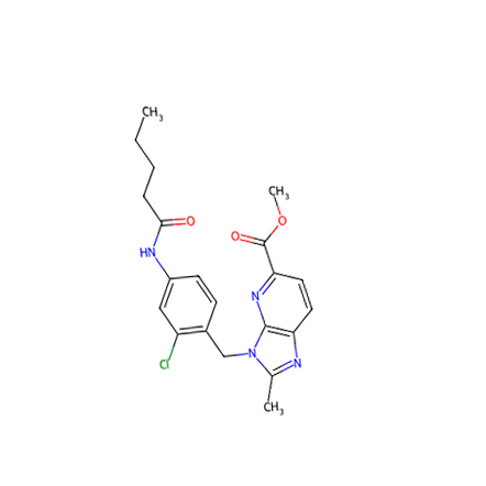 CCCCC(=O)Nc1ccc(Cn2c(C)nc3ccc(C(=O)OC)nc32)c(Cl)c1